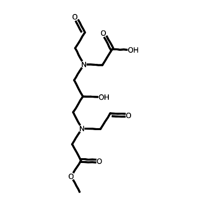 COC(=O)CN(CC=O)CC(O)CN(CC=O)CC(=O)O